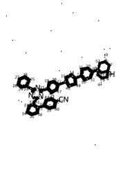 C[C@@H]1C[C@@H]2C[C@H](C)CC(c3ccc(-c4ccc(-c5ccc(-c6nc(-c7ccccc7)nc(-c7ccccc7-c7ccc(C#N)cc7)n6)cc5)cc4)cc3)(C1)C2